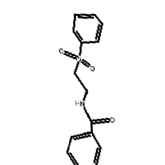 O=C(NCCS(=O)(=O)c1[c]cccc1)c1ccccc1